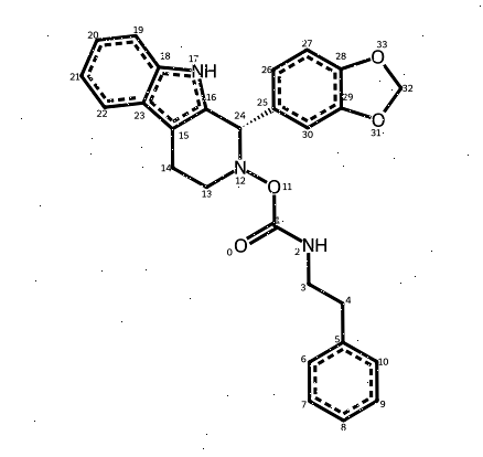 O=C(NCCc1ccccc1)ON1CCc2c([nH]c3ccccc23)[C@@H]1c1ccc2c(c1)OCO2